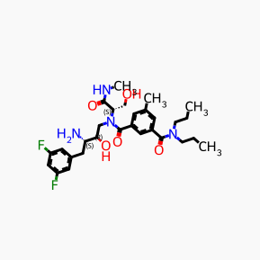 CCCN(CCC)C(=O)c1cc(C)cc(C(=O)N(C[C@@H](O)[C@@H](N)Cc2cc(F)cc(F)c2)[C@@H](CO)C(=O)NC)c1